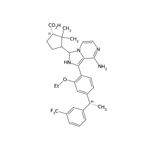 CCOc1cc([C@H](C)c2cccc(C(F)(F)F)c2)ccc1C1=C2C(N)=NC=CN2C(C2CC[C@H](C(=O)O)C2(C)C)N1